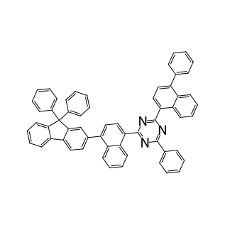 c1ccc(-c2nc(-c3ccc(-c4ccccc4)c4ccccc34)nc(-c3ccc(-c4ccc5c(c4)C(c4ccccc4)(c4ccccc4)c4ccccc4-5)c4ccccc34)n2)cc1